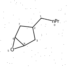 CCCCC1CC2OC2C1